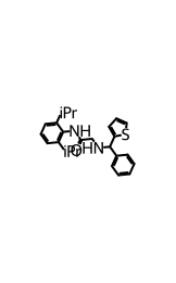 CC(C)c1cccc(C(C)C)c1NC(=O)CNC(c1ccccc1)c1cccs1